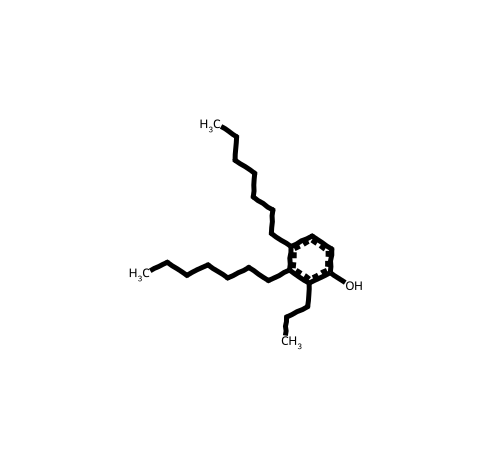 CCCCCCCc1ccc(O)c(CCC)c1CCCCCCC